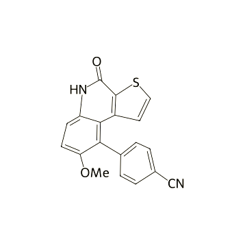 COc1ccc2[nH]c(=O)c3sccc3c2c1-c1ccc(C#N)cc1